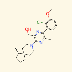 COc1cccc(-c2nc(CO)c(N3CCC4(CCC[C@H]4C)CC3)nc2C)c1Cl